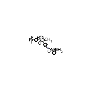 CN(C)C(C(=O)Nc1ccc(C(F)(F)F)cc1)c1ccc(/C=C/C(=O)Nc2ccccc2N)cc1